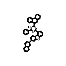 c1ccc(C2=NC(c3cccc4oc5cc(-c6ccc7ccccc7c6)ccc5c34)=NC(c3cc4ccccc4c4ccccc34)N2)cc1